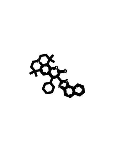 CC1(C)CCN2CCC(C)(C)c3c2c1cc1c(C2CCCCC2)c(-c2nc4ccc5ccccc5c4s2)c(=O)oc31